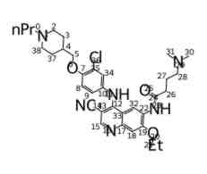 CCCN1CCC(COc2ccc(Nc3c(C#N)cnc4cc(OCC)c(NC(=O)CCCN(C)C)cc34)cc2Cl)CC1